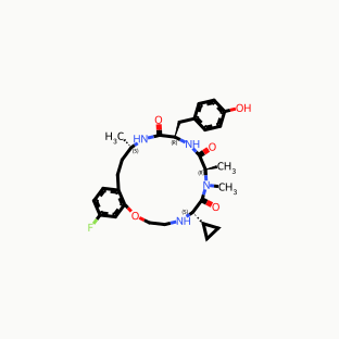 C[C@@H]1C(=O)N[C@H](Cc2ccc(O)cc2)C(=O)N[C@@H](C)CCc2ccc(F)cc2OCCN[C@@H](C2CC2)C(=O)N1C